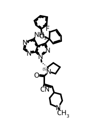 CN1CCC(C=C(C#N)C(=O)N2CCC[C@H]2Cn2nc(C3(Oc4ccccc4)C=CC=CC3F)c3c(N)ncnc32)CC1